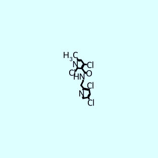 Cc1cc(Cl)c(C(=O)NCCc2ncc(Cl)cc2Cl)c(Cl)n1